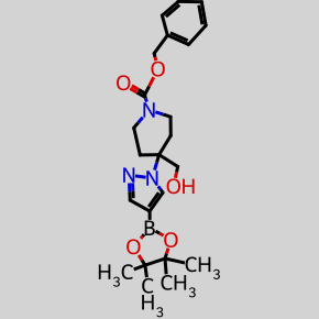 CC1(C)OB(c2cnn(C3(CO)CCN(C(=O)OCc4ccccc4)CC3)c2)OC1(C)C